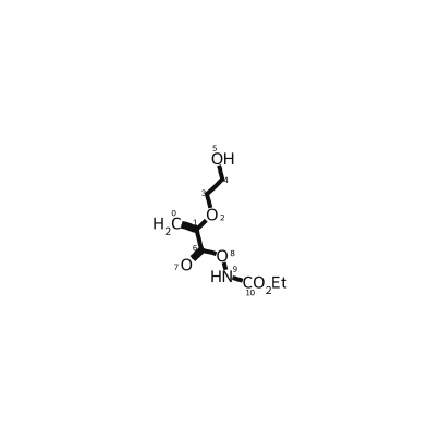 C=C(OCCO)C(=O)ONC(=O)OCC